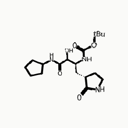 CC(C)(C)OC(=O)N[C@@H](C[C@@H]1CCNC1=O)C(O)C(=O)NC1CCCC1